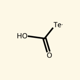 O=C(O)[Te]